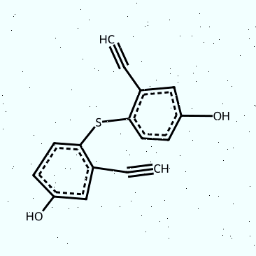 C#Cc1cc(O)ccc1Sc1ccc(O)cc1C#C